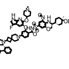 CC(C)c1ccccc1[C@@H]1CCCN1C1CC2(CCN(c3ccc(C(=O)NS(=O)(=O)c4cc(N=O)c5c(c4)OC[C@H]([C@H]4CC[C@](C)(O)CC4)N5)c(Oc4cc5c(F)c[nH]c5nc4OC4CCN(C)CC4)c3)CC2)C1